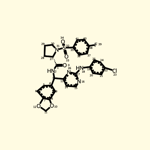 O=C(NC(c1ccc2c(c1)OCO2)c1ccnc(Nc2ccc(Cl)cc2)n1)[C@@H]1CCCN1S(=O)(=O)c1ccc(F)cc1